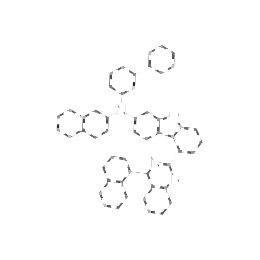 c1ccc(-c2cccc(N(c3ccc4ccccc4c3)c3ccc4c(c3)oc3cccc(-c5nc(-c6cccc7ccccc67)c6ccccc6n5)c34)c2)cc1